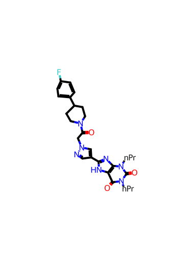 CCCn1c(=O)c2[nH]c(-c3cnn(CC(=O)N4CCC(c5ccc(F)cc5)CC4)c3)nc2n(CCC)c1=O